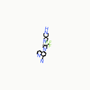 N#Cc1ccc(N2C[C@H](CN3CCC4(CCNCC4)C3)[C@@H](C(F)(F)F)C2)c2cccnc12